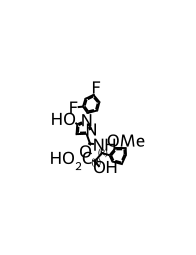 COc1ccccc1[C@@H](NC(=O)c1cc(O)n(-c2ccc(F)cc2F)n1)[C@@H](O)C(=O)O